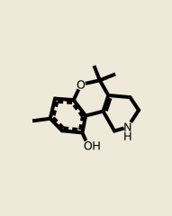 Cc1cc(O)c2c(c1)OC(C)(C)C1=C2CNCC1